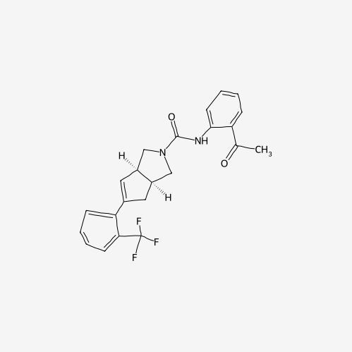 CC(=O)c1ccccc1NC(=O)N1C[C@H]2CC(c3ccccc3C(F)(F)F)=C[C@H]2C1